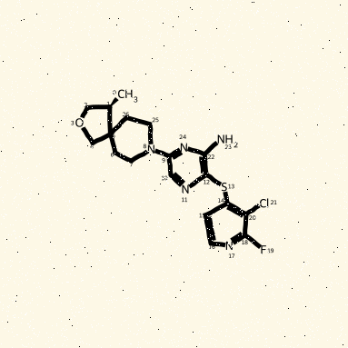 C[C@@H]1COCC12CCN(c1cnc(Sc3ccnc(F)c3Cl)c(N)n1)CC2